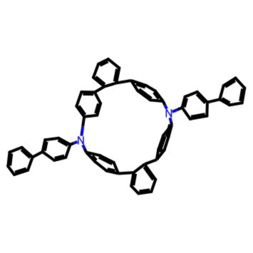 c1ccc(-c2ccc(N3c4ccc(cc4)-c4ccccc4-c4ccc(cc4)N(c4ccc(-c5ccccc5)cc4)c4ccc(cc4)-c4ccccc4-c4ccc3cc4)cc2)cc1